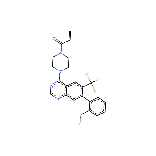 C=CC(=O)N1CCN(c2ncnc3cc(-c4ccccc4CF)c(C(F)(F)F)cc23)CC1